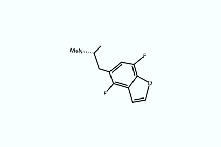 CN[C@H](C)Cc1cc(F)c2occc2c1F